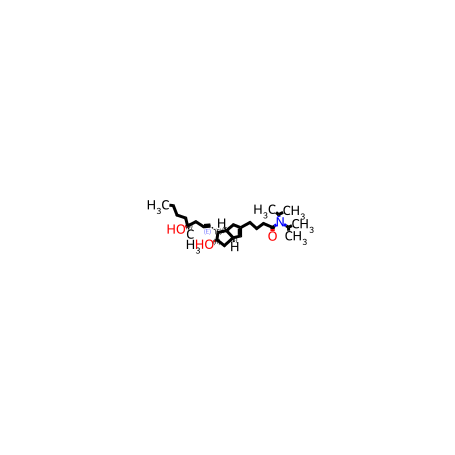 CCCC[C@](C)(O)C/C=C/[C@@H]1[C@H]2CC(CCCC(=O)N(C(C)C)C(C)C)=C[C@H]2C[C@H]1O